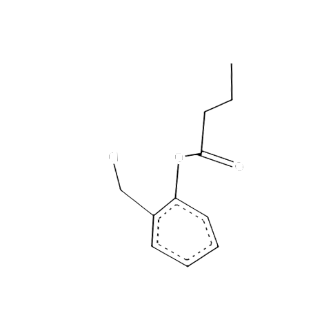 CCCC(=O)Oc1ccccc1CCl